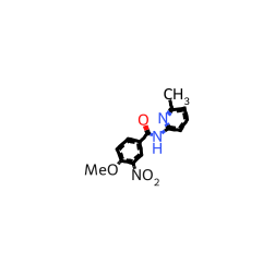 COc1ccc(C(=O)Nc2cccc(C)n2)cc1[N+](=O)[O-]